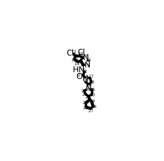 O=C(CNc1ncnc2c(Cl)c(Cl)ccc12)N1CCC(N2CCC(c3ccccc3)CC2)C1